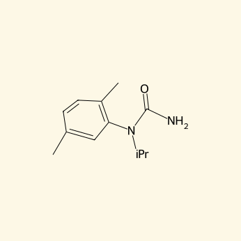 Cc1ccc(C)c(N(C(N)=O)C(C)C)c1